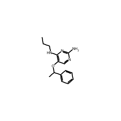 CCCNc1nc(N)ncc1OC(C)c1ccccc1